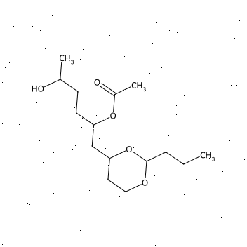 CCCC1OCCC(CC(CCC(C)O)OC(C)=O)O1